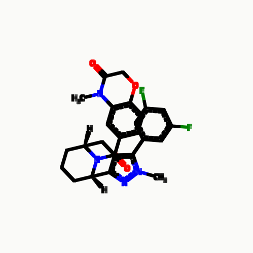 CN1C(=O)COc2ccc(C(=O)N3[C@@H]4CCC[C@H]3c3nn(C)c(-c5cc(F)cc(F)c5)c3C4)cc21